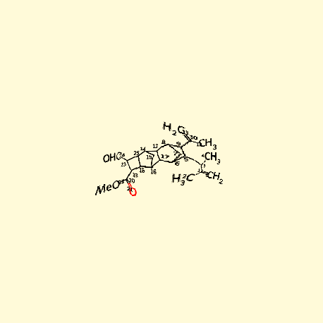 C=C(C)C(C)C1C2CC(C1C(=C)C)C1C3CC(C21)C1C(C(=O)OC)C(C=O)C31